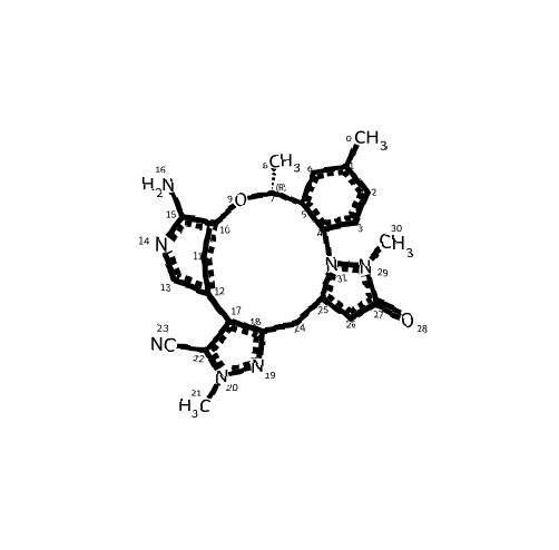 Cc1ccc2c(c1)[C@@H](C)Oc1cc(cnc1N)-c1c(nn(C)c1C#N)Cc1cc(=O)n(C)n1-2